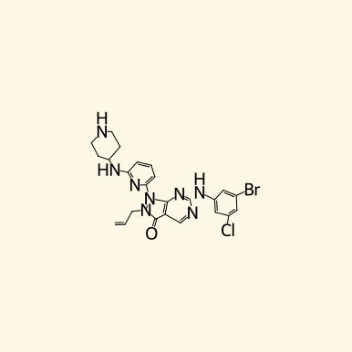 C=CCn1c(=O)c2cnc(Nc3cc(Cl)cc(Br)c3)nc2n1-c1cccc(NC2CCNCC2)n1